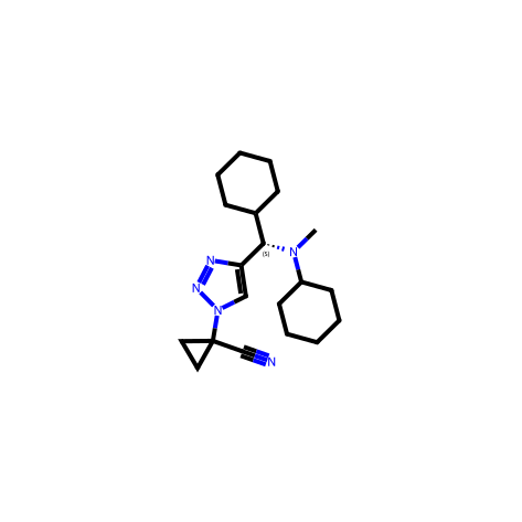 CN(C1CCCCC1)[C@H](c1cn(C2(C#N)CC2)nn1)C1CCCCC1